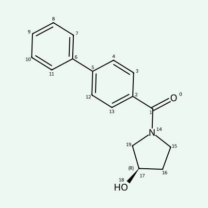 O=C(c1ccc(-c2ccccc2)cc1)N1CC[C@@H](O)C1